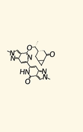 C[C@@H](Oc1nc(-c2cc3nn(C)cc3c(=O)[nH]2)cc2nn(C)cc12)[C@@H]1CC(=O)C2CC2C1